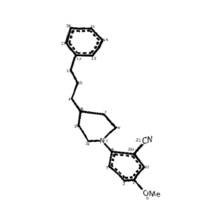 COc1ccc(N2CCC(CCCc3ccccc3)CC2)c(C#N)c1